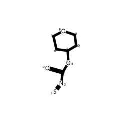 O=C(N=S)OC1CCOCC1